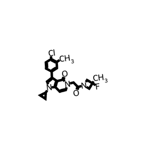 Cc1cc(-c2cn(C3CC3)c3ccn(CC(=O)N4CC(C)(F)C4)c(=O)c23)ccc1Cl